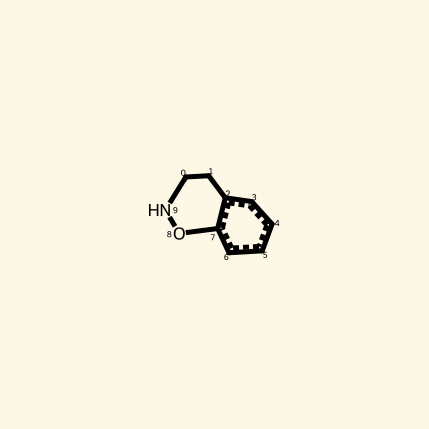 [CH]1Cc2ccccc2ON1